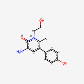 Cc1c(-c2ccc(O)cc2)cc(N)c(=O)n1CCO